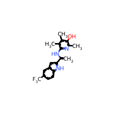 C=C(Nc1nc(C)c(O)c(C)c1C)c1cc2cc(C(F)(F)F)ccc2[nH]1